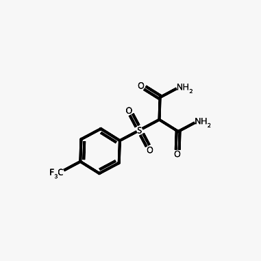 NC(=O)C(C(N)=O)S(=O)(=O)c1ccc(C(F)(F)F)cc1